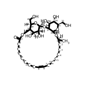 C[C@H]1CCCCCC/C=C\CCCCCCCC(=O)O[C@H]2[C@H](O)[C@@H](O)[C@H](O[C@H]3[C@H](O1)O[C@H](CO)[C@@H](O)[C@@H]3O)O[C@@H]2CO